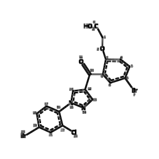 O=C(O)COc1ccc(Br)cc1C(=O)c1cnn(-c2ccc(Br)cc2Cl)c1